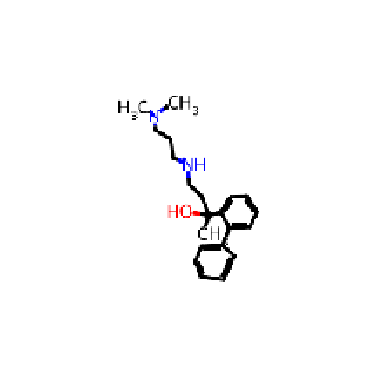 CN(C)CCCNCCC(C)(O)c1ccccc1-c1ccccc1